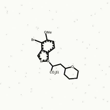 CCOC(=O)C(CC1CCCCO1)n1ncc2c(Br)c(OC)ccc21